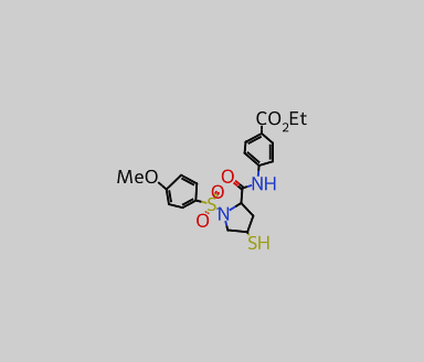 CCOC(=O)c1ccc(NC(=O)C2CC(S)CN2S(=O)(=O)c2ccc(OC)cc2)cc1